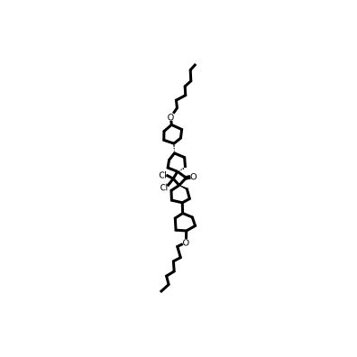 CCCCCCCOC1CCC(C2CC[C@]3(CC2)C(=O)[C@@]2(CC[C@@H](C4CCC(OCCCCCCC)CC4)CC2)C3(Cl)Cl)CC1